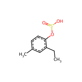 CCc1cc(C)ccc1OS(=O)O